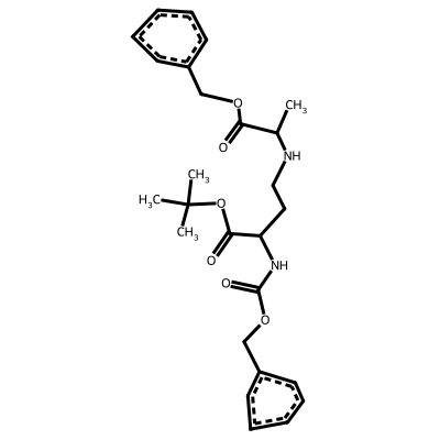 CC(NCCC(NC(=O)OCc1ccccc1)C(=O)OC(C)(C)C)C(=O)OCc1ccccc1